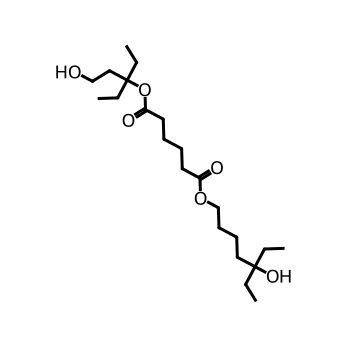 CCC(O)(CC)CCCCOC(=O)CCCCC(=O)OC(CC)(CC)CCO